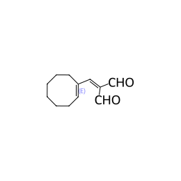 O=CC(C=O)=C/C1=C/CCCCCC1